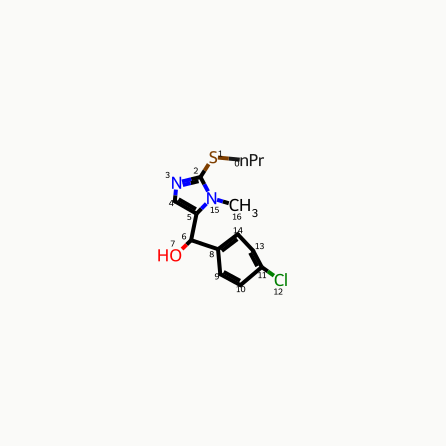 CCCSc1ncc(C(O)c2ccc(Cl)cc2)n1C